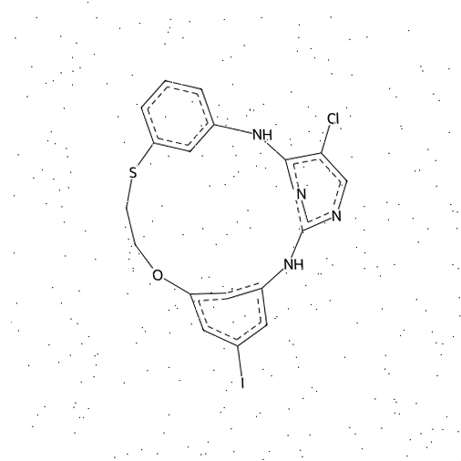 Clc1cnc2nc1Nc1cccc(c1)SCCOc1cc(I)cc(c1)N2